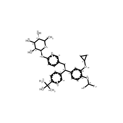 CC1O[C@@H](Oc2ccc(C[C@H](c3ccc(C(C)(C)O)nc3)c3ccc(OC(F)F)c(OC4CC4)c3)cn2)[C@@H](O)C(O)[C@@H]1O